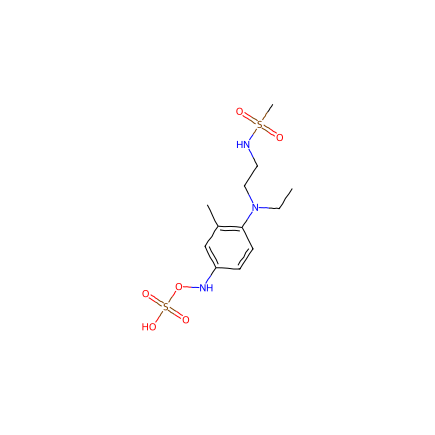 CCN(CCNS(C)(=O)=O)c1ccc(NOS(=O)(=O)O)cc1C